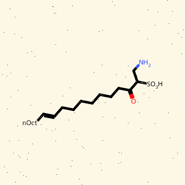 CCCCCCCCC=CCCCCCCCC(=O)C(CN)S(=O)(=O)O